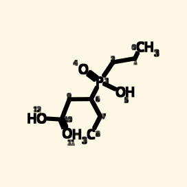 CCCP(=O)(O)C(CC)CC(=O)O